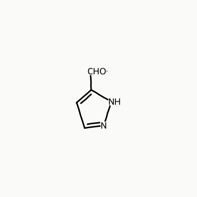 O=[C]c1ccn[nH]1